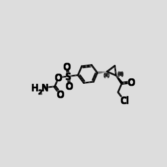 NC(=O)OS(=O)(=O)c1ccc([C@@H]2C[C@H]2C(=O)CCl)cc1